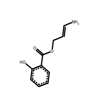 NC=CCOC(=O)c1ccccc1O